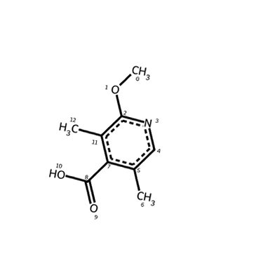 COc1ncc(C)c(C(=O)O)c1C